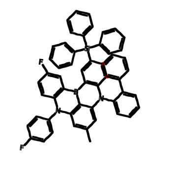 Cc1cc2c3c(c1)N(c1ccccc1-c1ccccc1)c1ccc([Si](c4ccccc4)(c4ccccc4)c4ccccc4)cc1B3c1cc(F)ccc1N2c1ccc(F)cc1